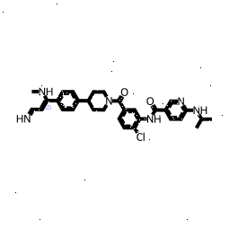 CN/C(=C\C=N)c1ccc(C2CCN(C(=O)c3ccc(Cl)c(NC(=O)c4ccc(NC(C)C)nc4)c3)CC2)cc1